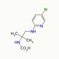 CC(C)(CNc1ccc(Br)cn1)NC(=O)O